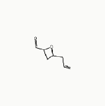 C=CCC1CC(C=O)O1